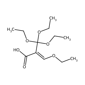 CCOC=C(C(=O)O)C(OCC)(OCC)OCC